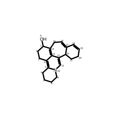 OC1CCC2=C3CCCCN3C=C3C2=C1CC=C1C=CCCC13